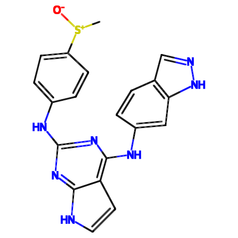 C[S+]([O-])c1ccc(Nc2nc(Nc3ccc4cn[nH]c4c3)c3cc[nH]c3n2)cc1